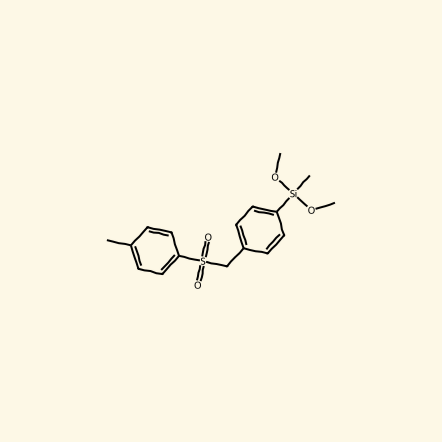 CO[Si](C)(OC)c1ccc(CS(=O)(=O)c2ccc(C)cc2)cc1